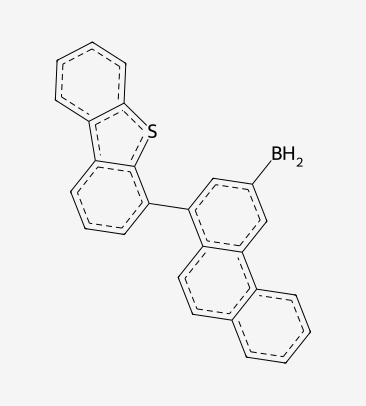 Bc1cc(-c2cccc3c2sc2ccccc23)c2ccc3ccccc3c2c1